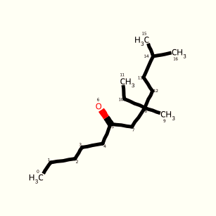 CCCCCC(=O)CC(C)(CC)CCC(C)C